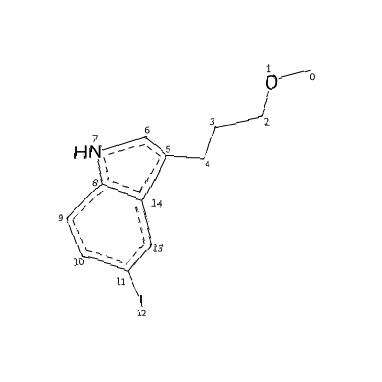 COCCCc1c[nH]c2ccc(I)cc12